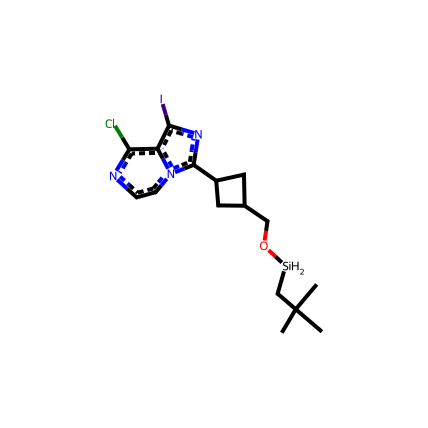 CC(C)(C)C[SiH2]OCC1CC(c2nc(I)c3c(Cl)nccn23)C1